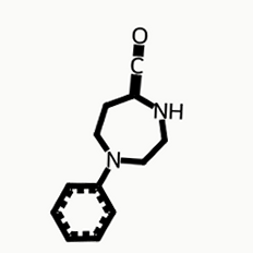 O=C=C1CCN(c2ccccc2)CCN1